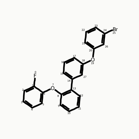 Fc1ccccc1Oc1ccc[c]c1-c1cccc(Oc2cccc(Br)c2)c1